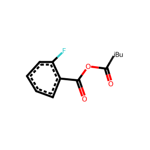 CCC(C)C(=O)OC(=O)c1ccccc1F